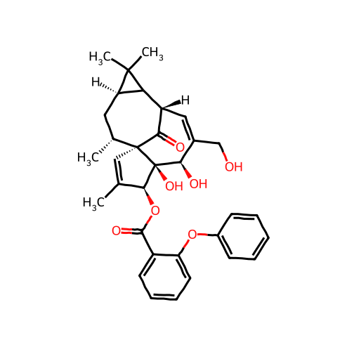 CC1=C[C@]23C(=O)[C@@H](C=C(CO)[C@@H](O)[C@]2(O)[C@H]1OC(=O)c1ccccc1Oc1ccccc1)C1[C@@H](C[C@H]3C)C1(C)C